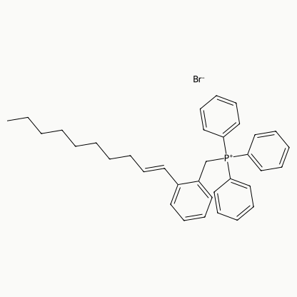 CCCCCCCCC=Cc1ccccc1C[P+](c1ccccc1)(c1ccccc1)c1ccccc1.[Br-]